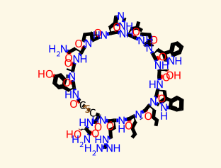 CCCC[C@H]1C(=O)N(C)[C@@H](CCCC)C(=O)N[C@@H](CCCNC(=N)N)C(=O)NC(C(=O)N[C@@H](CO)C(N)=O)CSCC(=O)N[C@@H](Cc2ccc(O)cc2)C(=O)N(C)[C@@H](C)C(=O)N[C@@H](CC(N)=O)C(=O)N2CCC[C@H]2C(=O)N[C@@H](Cc2cnc[nH]2)C(=O)N[C@@H](CC(C)C)C(=O)N2CCCC2(C=O)N[C@@H](Cc2c[nH]c3ccccc23)C(=O)N[C@@H](CO)C(=O)N[C@@H](Cc2c[nH]c3ccccc23)C(=O)N1C